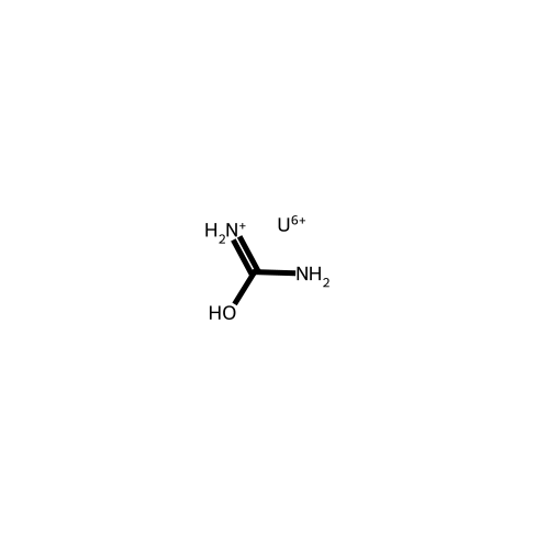 NC(=[NH2+])O.[U+6]